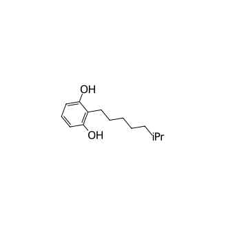 CC(C)CCCCCc1c(O)cccc1O